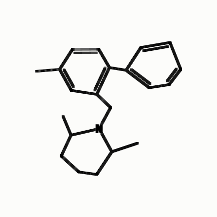 Cc1ccc(-c2ccccc2)c(CN2C(C)CCCC2C)c1